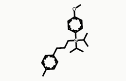 COc1ccc([Si](CCCc2ccc(C)cc2)(C(C)C)C(C)C)cc1